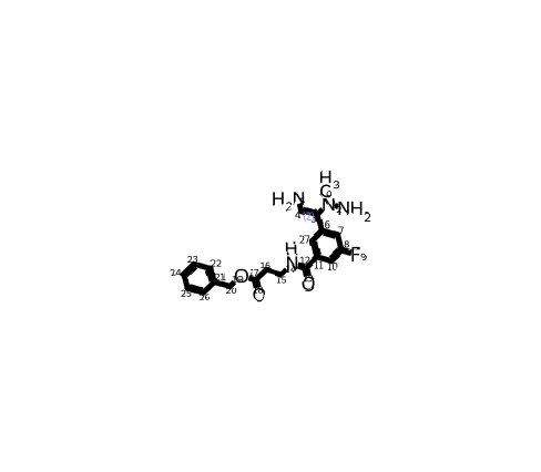 CN(N)/C(=C\N)c1cc(F)cc(C(=O)NCCC(=O)OCc2ccccc2)c1